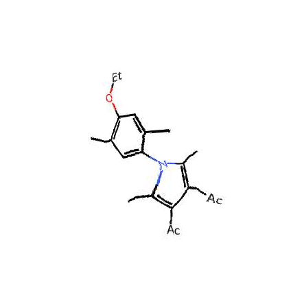 CCOc1cc(C)c(-n2c(C)c(C(C)=O)c(C(C)=O)c2C)cc1C